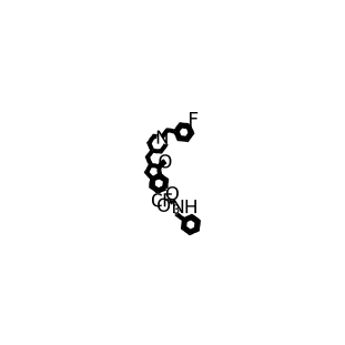 O=C(NCc1ccccc1)Oc1cc2c(cc1C(F)(F)F)CC(CC1CCN(Cc3cccc(F)c3)CC1)C2=O